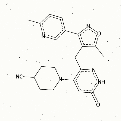 Cc1ccc(-c2noc(C)c2Cc2n[nH]c(=O)cc2N2CCC(C#N)CC2)cn1